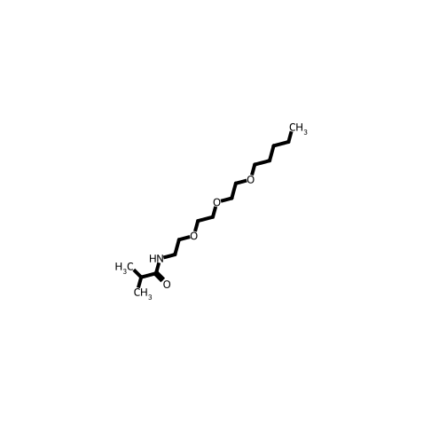 CCCCCOCCOCCOCCNC(=O)C(C)C